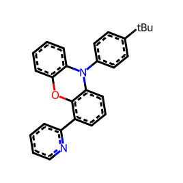 CC(C)(C)c1ccc(N2c3ccccc3Oc3c(-c4ccccn4)cccc32)cc1